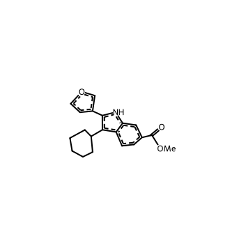 COC(=O)c1ccc2c(C3CCCCC3)c(-c3ccoc3)[nH]c2c1